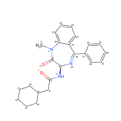 CN1C(=O)[C@H](NC(=O)CC2CCCCC2)N=C(c2ccccc2)c2ccccc21